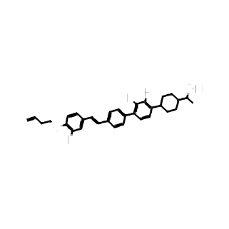 C=CCCOc1ccc(/C=C/c2ccc(-c3ccc(C4CCC(C(C)O)CC4)c(F)c3F)cc2)cc1F